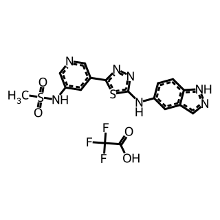 CS(=O)(=O)Nc1cncc(-c2nnc(Nc3ccc4[nH]ncc4c3)s2)c1.O=C(O)C(F)(F)F